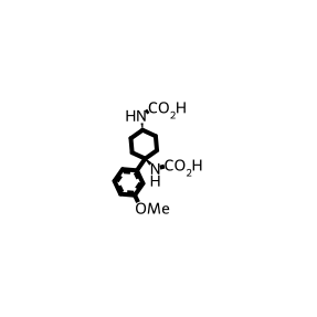 COc1cccc([C@]2(NC(=O)O)CC[C@H](NC(=O)O)CC2)c1